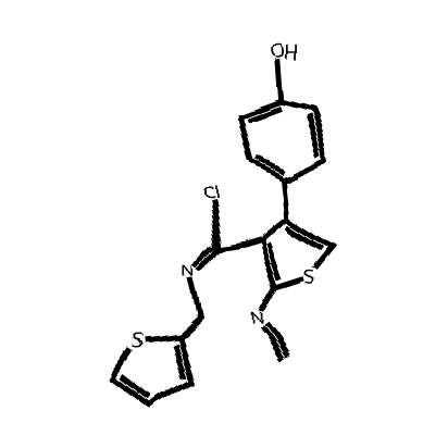 C=Nc1scc(-c2ccc(O)cc2)c1/C(Cl)=N\Cc1cccs1